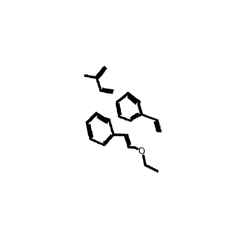 C=CC(=C)C.C=Cc1ccccc1.CCOC=Cc1ccccc1